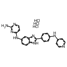 Cl.Cl.Cl.Nc1nccc(Nc2ccc3[nH]c(-c4ccc(Nc5ccncc5)cc4)nc3c2)n1